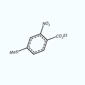 CCOC(=O)c1ccc(SC)cc1[N+](=O)[O-]